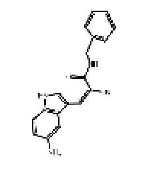 N#CC(=Cc1c[nH]c2ccc(N)cc12)C(=O)NCc1ccccc1